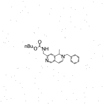 CCCCOC(=O)NCc1cc2c(cn1)C=CN(Cc1ccccc1)C2C